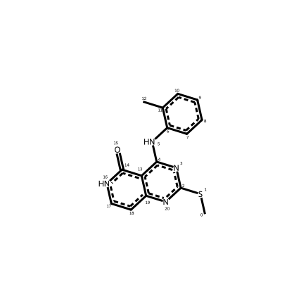 CSc1nc(Nc2ccccc2C)c2c(=O)[nH]ccc2n1